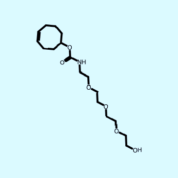 O=C(NCCOCCOCCOCCO)OC1CCC=CCCC1